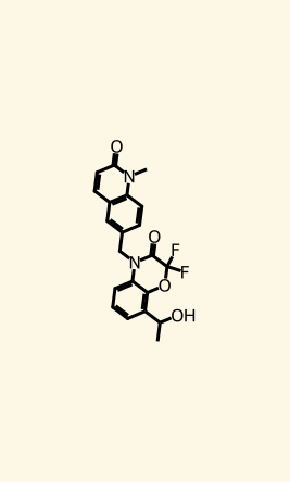 CC(O)c1cccc2c1OC(F)(F)C(=O)N2Cc1ccc2c(ccc(=O)n2C)c1